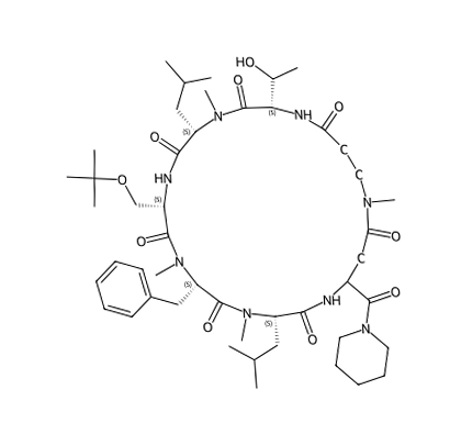 CC(C)C[C@H]1C(=O)N[C@@H](COC(C)(C)C)C(=O)N(C)[C@@H](Cc2ccccc2)C(=O)N(C)[C@@H](CC(C)C)C(=O)NC(C(=O)N2CCCCC2)CC(=O)N(C)CCC(=O)N[C@@H](C(C)O)C(=O)N1C